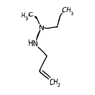 C=CCNN(C)CC